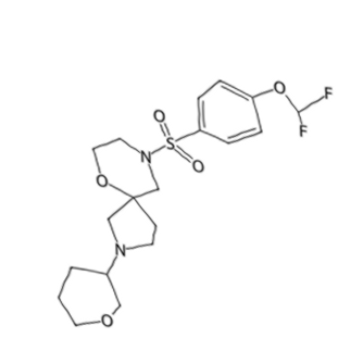 O=S(=O)(c1ccc(OC(F)F)cc1)N1CCOC2(CCN(C3CCCOC3)C2)C1